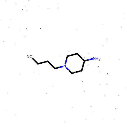 N#CCCCN1CCC(N)CC1